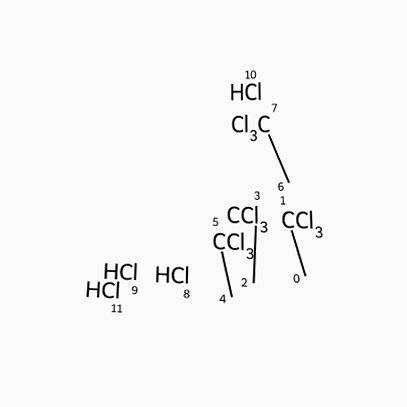 CC(Cl)(Cl)Cl.CC(Cl)(Cl)Cl.CC(Cl)(Cl)Cl.CC(Cl)(Cl)Cl.Cl.Cl.Cl.Cl